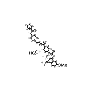 COc1ccc2c(c1)c(CC(=O)Oc1ccc(C(=O)OCCN3CCN(CC(=O)N4CCCC4)CC3)cc1)c(C)n2C.Cl.Cl